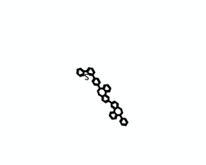 c1ccc(C2CCc3ccc(-c4ccc5c(c4)-c4ccccc4C(c4ccc(-c6cccc7c6sc6ccccc67)cc4)CC5)cc3-c3ccccc32)cc1